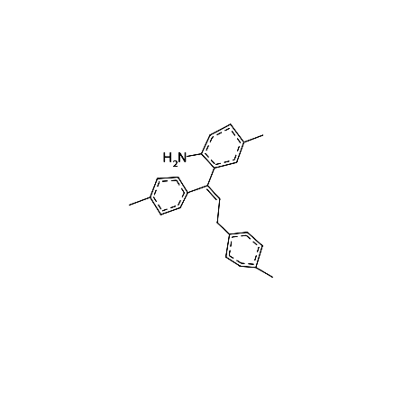 Cc1ccc(C/C=C(\c2ccc(C)cc2)c2cc(C)ccc2N)cc1